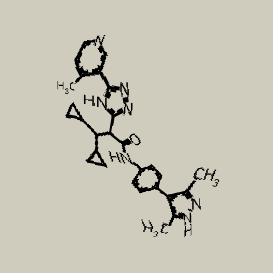 Cc1ccncc1-c1nnc(C(C(=O)Nc2ccc(-c3c(C)n[nH]c3C)cc2)C(C2CC2)C2CC2)[nH]1